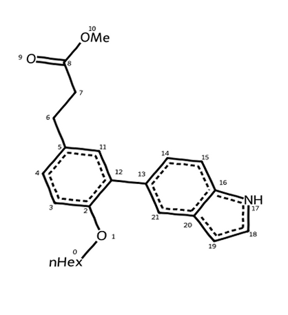 CCCCCCOc1ccc(CCC(=O)OC)cc1-c1ccc2[nH]ccc2c1